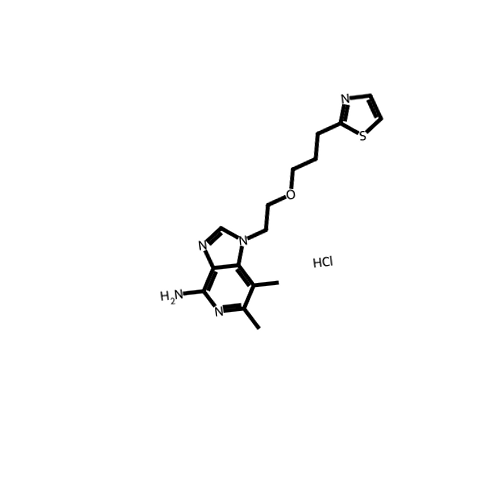 Cc1nc(N)c2ncn(CCOCCCc3nccs3)c2c1C.Cl